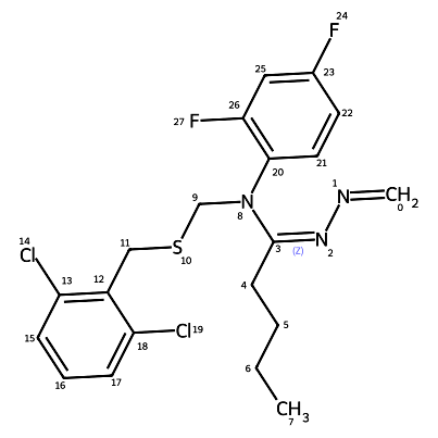 C=N/N=C(/CCCC)N(CSCc1c(Cl)cccc1Cl)c1ccc(F)cc1F